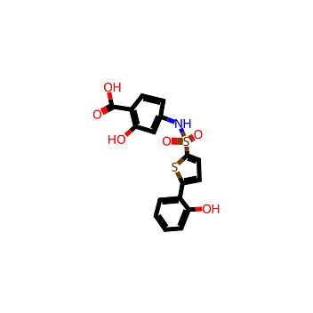 O=C(O)c1ccc(NS(=O)(=O)c2ccc(-c3ccccc3O)s2)cc1O